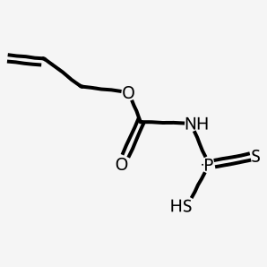 C=CCOC(=O)N[P](=S)S